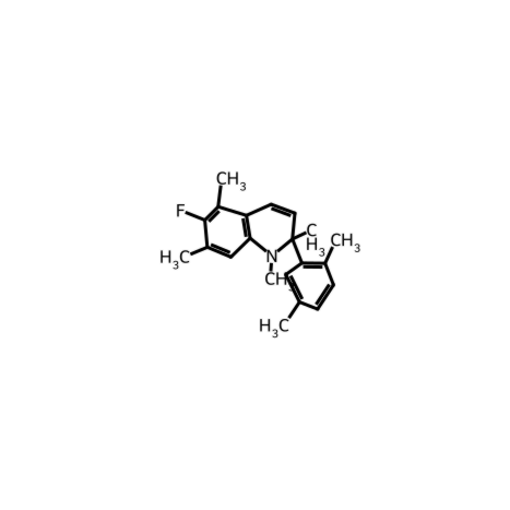 Cc1ccc(C)c(C2(C)C=Cc3c(cc(C)c(F)c3C)N2C)c1